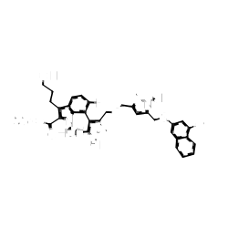 COC(=O)c1c(CCCO)c2ccc(F)c(-c3c(CSCc4cc(CSc5cc(O)c6ccccc6c5)n(C)n4)nn(C)c3C)c2n1C